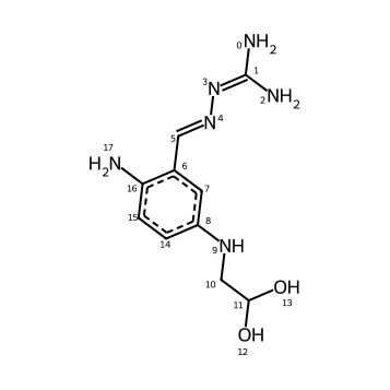 NC(N)=NN=Cc1cc(NCC(O)O)ccc1N